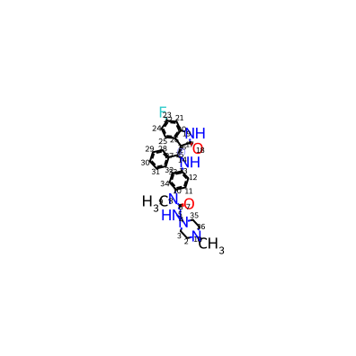 CN1CCN(NC(=O)N(C)c2ccc(N/C(=C3\C(=O)Nc4cc(F)ccc43)c3ccccc3)cc2)CC1